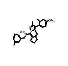 CCCN(Cc1cccc(F)c1)c1c2c(nc3c(C4=CC=C(OC)CC4C)c(C)nn13)CCC2